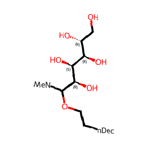 CCCCCCCCCCCCOC(NC)[C@H](O)[C@@H](O)[C@H](O)[C@H](O)CO